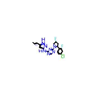 C/C=C/c1cc(Nc2ncnc(N3CC(F)CC3c3ccc(Cl)cc3F)n2)n[nH]1